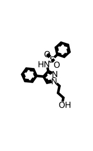 O=S(=O)(Nc1nn(CCCO)cc1-c1ccccc1)c1ccccc1